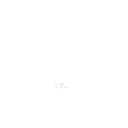 c1ccc2c(c1)CCC2CNC1CC1